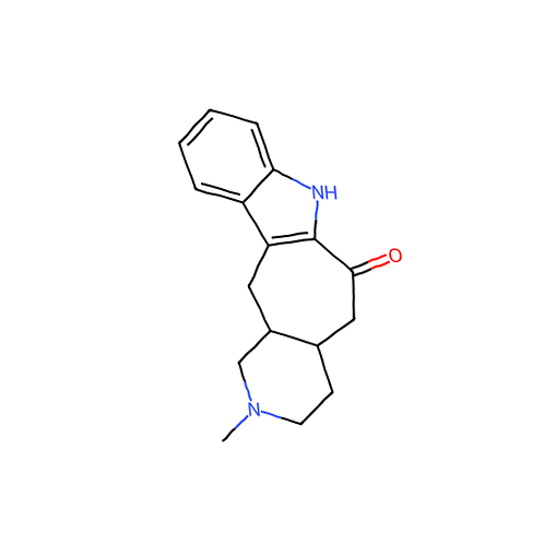 CN1CCC2CC(=O)c3[nH]c4ccccc4c3CC2C1